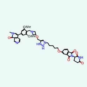 COc1cc(-c2cn(C)c(=O)c3cnccc23)cc(OC)c1CN1CC(OCC2=CN(CCCCCOc3ccc4c(c3)C(=O)N(C3CCC(=O)NC3=O)C4=O)NN2)C1